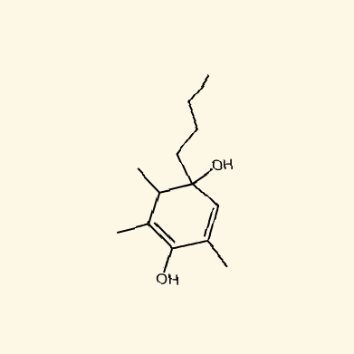 CCCCC1(O)C=C(C)C(O)=C(C)C1C